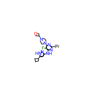 CC(C)c1nc(Nc2cc(C3CCC3)[nH]n2)c(F)c(N2CCN(C3COC3)CC2)n1